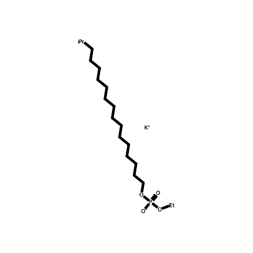 CCOP(=O)([O-])OCCCCCCCCCCCCCCCC(C)C.[K+]